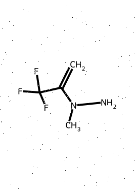 C=C(N(C)N)C(F)(F)F